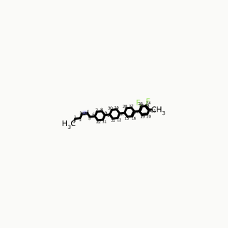 CCC/C=C\CC1CCC(C2CCC(C3CC=C(c4ccc(C)c(F)c4F)CC3)CC2)CC1